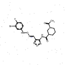 CC(=O)N1CCCC(C(=O)Nc2nonc2/C=N/ONc2ccc(F)c(Br)c2)C1